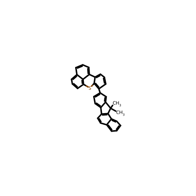 CC1(C)c2cc(-c3cccc4c3Sc3cccc5cccc-4c35)ccc2-c2ccc3ccccc3c21